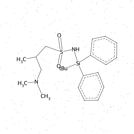 CC(CN(C)C)CS(=O)(=O)N[Si](c1ccccc1)(c1ccccc1)C(C)(C)C